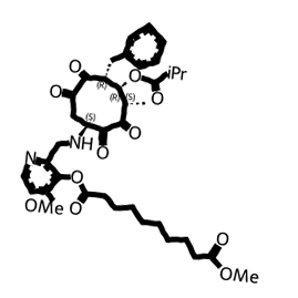 COC(=O)CCCCCCCCC(=O)Oc1c(OC)ccnc1CN[C@H]1CC(=O)C(=O)[C@H](Cc2ccccc2)[C@H](OC(=O)C(C)C)[C@H](C)C(=O)C1=O